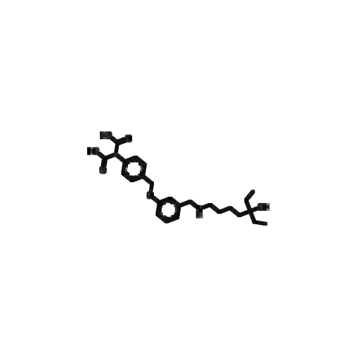 CCC(O)(CC)CCCCNCc1cccc(OCc2ccc(C(C(=O)O)C(=O)O)cc2)c1